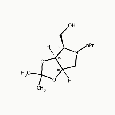 CCCN1C[C@H]2OC(C)(C)O[C@H]2[C@H]1CO